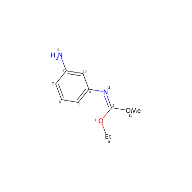 CCOC(=Nc1cccc(N)c1)OC